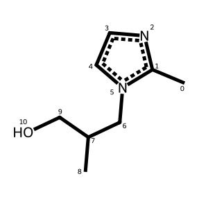 Cc1nccn1CC(C)CO